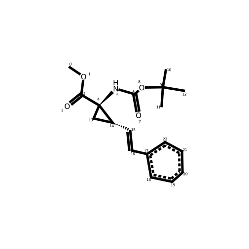 COC(=O)[C@@]1(NC(=O)OC(C)(C)C)C[C@H]1/C=C/c1ccccc1